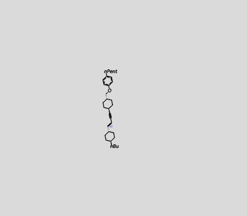 CCCCCc1ccc(OC[C@H]2CC[C@H](C#C/C=C/[C@H]3CC[C@H](CCCC)CC3)CC2)cc1